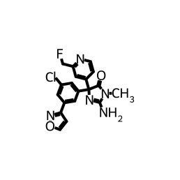 CN1C(=O)C(c2cc(Cl)cc(-c3ccon3)c2)(c2ccnc(CF)c2)N=C1N